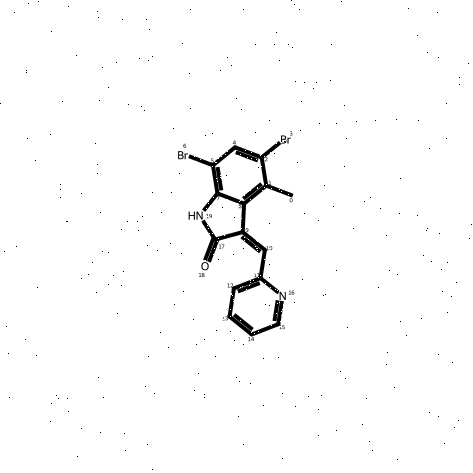 Cc1c(Br)cc(Br)c2c1C(=Cc1ccccn1)C(=O)N2